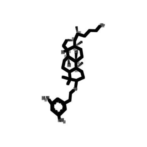 CC(C)CCC[C@@H](C)[C@H]1CC[C@H]2[C@@H]3CCC4C(C)(C)C(OCCc5cc(N)cc(N)c5)CC[C@]4(C)[C@H]3CC[C@]12C